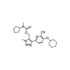 CN(C(=O)OCc1c(-c2ccc(OC3CCCCC3)c(C#N)n2)nnn1C)C1CCCC1